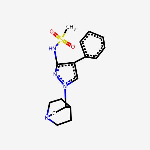 CS(=O)(=O)Nc1nn(C2CN3CCC2CC3)cc1-c1ccccc1